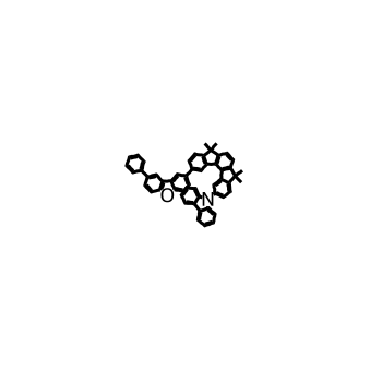 CC1(C)c2ccc(-c3ccc4oc5ccc(-c6ccccc6)cc5c4c3)cc2-c2c1ccc1c2-c2cc(-n3c4ccccc4c4ccccc43)ccc2C1(C)C